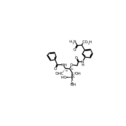 NC(=O)C(C(=O)O)c1cccc(NC(=O)CO[C@@H]([C@H](O)[C@H](O)CO)[C@H](C=O)NC(=O)c2ccccc2)c1